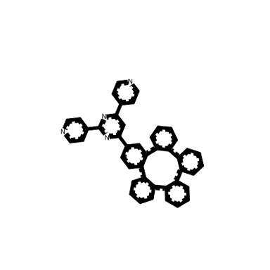 c1ccc2c(c1)c1ccccc1c1ccccc1c1cc(-c3cc(-c4ccncc4)nc(-c4ccncc4)n3)ccc1c1ccccc21